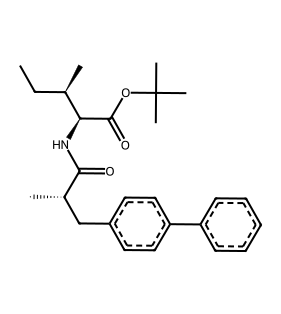 [CH2][C@@H](Cc1ccc(-c2ccccc2)cc1)C(=O)N[C@H](C(=O)OC(C)(C)C)[C@H](C)CC